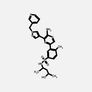 Cc1ccc(S(=O)(=O)NC(C)CC(C)O)cc1-c1cnc(N)c(-c2cnn(Cc3cccnc3)c2)n1